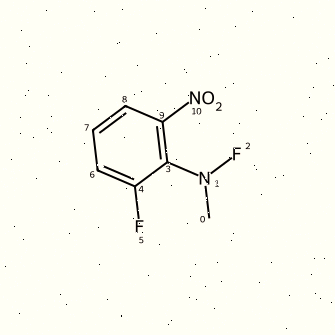 CN(F)c1c(F)cccc1[N+](=O)[O-]